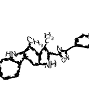 Cc1c(-c2nc(-c3ccncc3)no2)[nH]c2cc3c([nH]c4ccccc43)c(C)c12